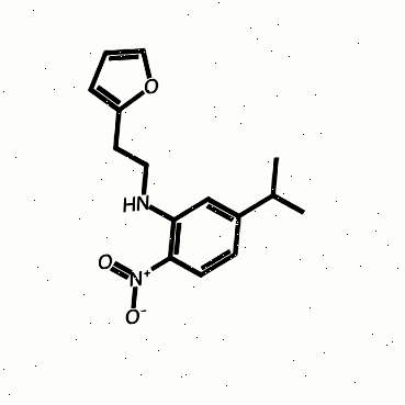 CC(C)c1ccc([N+](=O)[O-])c(NCCc2ccco2)c1